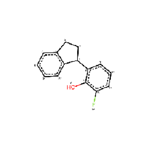 Oc1c(C2CCc3ccccc32)[c]ccc1F